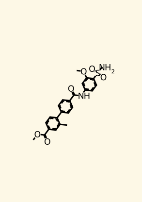 COC(=O)c1ccc(-c2ccc(C(=O)Nc3ccc(S(N)(=O)=O)c(OC)c3)cc2)c(C)c1